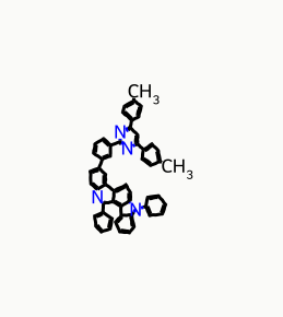 Cc1ccc(-c2cc(-c3ccc(C)cc3)nc(-c3cccc(-c4ccc5nc(-c6ccccc6)c6c(ccc7c6c6ccccc6n7-c6ccccc6)c5c4)c3)n2)cc1